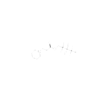 O=C(CCN1CCCCC1)OCC(F)(F)C(F)(F)C(F)(F)F